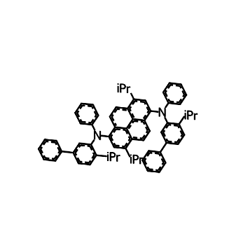 CC(C)c1ccc(-c2ccccc2)cc1N(c1ccccc1)c1cc(C(C)C)c2ccc3c(N(c4ccccc4)c4cc(-c5ccccc5)ccc4C(C)C)cc(C(C)C)c4ccc1c2c43